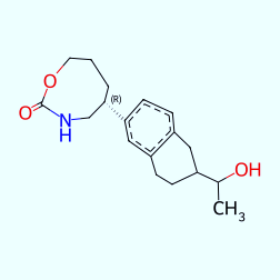 CC(O)C1CCc2cc([C@H]3CCCOC(=O)NC3)ccc2C1